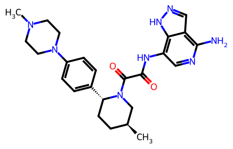 C[C@H]1CC[C@H](c2ccc(N3CCN(C)CC3)cc2)N(C(=O)C(=O)Nc2cnc(N)c3cn[nH]c23)C1